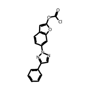 O=C(Cl)Oc1cc2ccc(-n3ncc(-c4ccccc4)n3)cc2o1